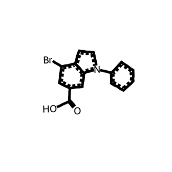 O=C(O)c1cc(Br)c2ccn(-c3ccccc3)c2c1